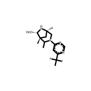 CC1N(c2cc(C(C)(F)F)ncn2)C[C@H]2C[C@@]1(C)[C@H](C=O)N2